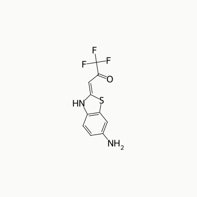 Nc1ccc2c(c1)SC(=CC(=O)C(F)(F)F)N2